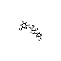 CCn1ncc(N2CC[C@H](C(=O)NCc3cc(F)cc(Cl)c3)C2=O)n1